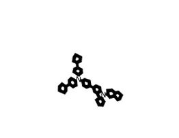 c1ccc(-c2ccc(N(c3ccc(-c4ccccc4)cc3)c3ccc(-c4ccc5c(c4)c4ccccc4n5-c4ccc5ccccc5c4)cc3)cc2)cc1